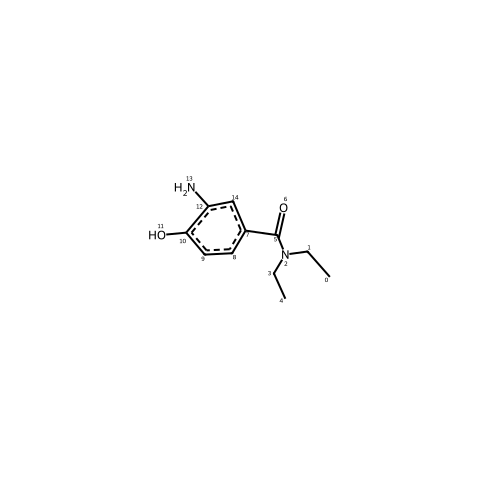 CCN(CC)C(=O)c1ccc(O)c(N)c1